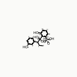 CCC(c1cccc(O)c1)C(O)(O)c1c(O)cccc1P(=O)(O)O